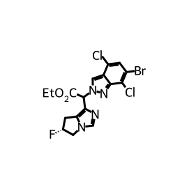 CCOC(=O)C(c1ncn2c1C[C@@H](F)C2)n1cc2c(Cl)cc(Br)c(Cl)c2n1